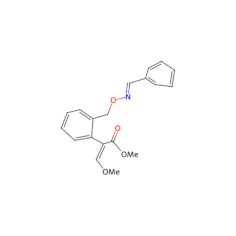 COC=C(C(=O)OC)c1ccccc1CON=Cc1ccccc1